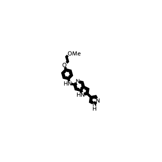 COCCOc1ccc(Nc2cc3[nH]c(-c4cn[nH]c4)cc3cn2)cc1